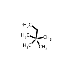 [CH2]CP(C)(C)(C)C